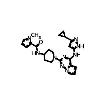 Cn1cccc1C(=O)NC1CCN(c2nc(Nc3cc(C4CC4)n[nH]3)c3cccn3n2)CC1